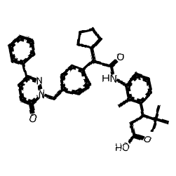 Cc1c(NC(=O)C(c2ccc(Cn3nc(-c4ccccc4)ccc3=O)cc2)C2CCCC2)cccc1C(CC(=O)O)C(C)(C)C